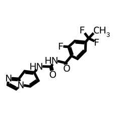 CC(F)(F)c1ccc(C(=O)NC(=O)Nc2ccn3ccnc3c2)c(F)c1